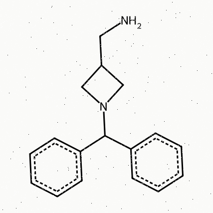 NCC1CN(C(c2ccccc2)c2ccccc2)C1